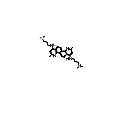 Cc1cc(NCCCN(C)C)c2ccc3c(ccc4c(NCCCN(C)C)cc(C)nc43)c2n1